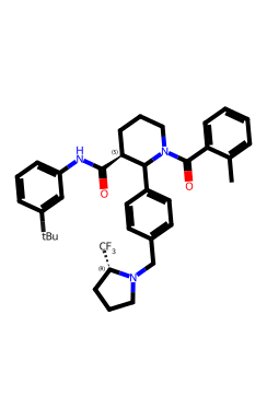 Cc1ccccc1C(=O)N1CCC[C@H](C(=O)Nc2cccc(C(C)(C)C)c2)C1c1ccc(CN2CCC[C@@H]2C(F)(F)F)cc1